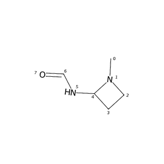 CN1CCC1NC=O